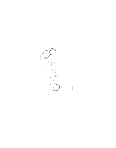 Cc1cc(C)nc(NC(=S)N2CCN(c3nccc4ccsc34)CC2)c1